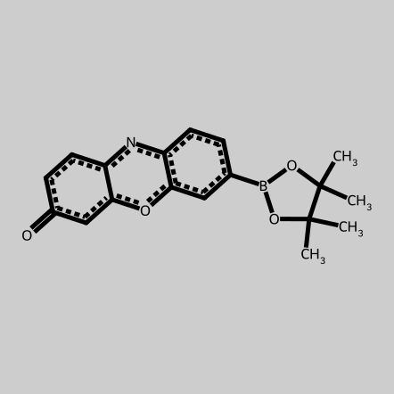 CC1(C)OB(c2ccc3nc4ccc(=O)cc-4oc3c2)OC1(C)C